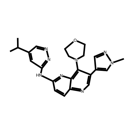 CC(C)c1cnnc(Nc2ccc3ncc(-c4cnn(C)c4)c(N4CCOCC4)c3n2)c1